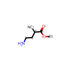 CCOC(=O)C(C#N)CCN